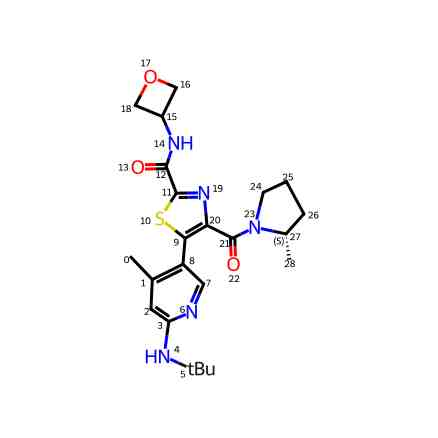 Cc1cc(NC(C)(C)C)ncc1-c1sc(C(=O)NC2COC2)nc1C(=O)N1CCC[C@@H]1C